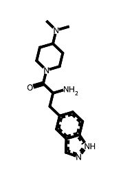 CN(C)C1CCN(C(=O)C(N)Cc2ccc3[nH]ncc3c2)CC1